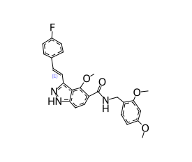 COc1ccc(CNC(=O)c2ccc3[nH]nc(/C=C/c4ccc(F)cc4)c3c2OC)c(OC)c1